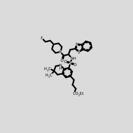 CCOC(=O)CCCc1cc2c(c(S(=O)(=O)NC(Cc3nc4ccccc4s3)C(=O)N3CCC(CCF)CC3)c1)NCC(C)(C)C2